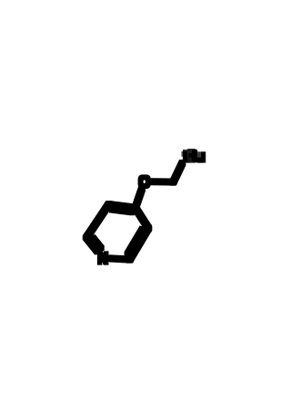 CC(C)(C)COc1ccncc1